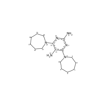 Nc1nc(N2CCCCCC2)c(N)c(N2CCCCCC2)n1